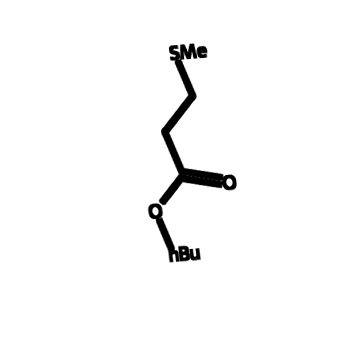 CCCCOC(=O)CCSC